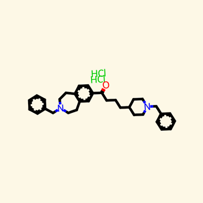 Cl.Cl.O=C(CCCC1CCN(Cc2ccccc2)CC1)c1ccc2c(c1)CCN(Cc1ccccc1)CC2